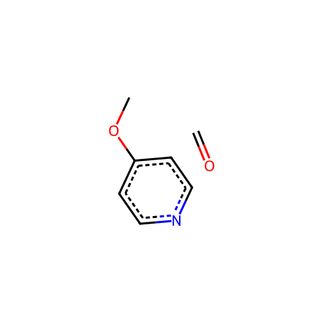 C=O.COc1ccncc1